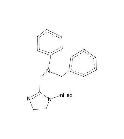 CCCCCCN1CCN=C1CN(Cc1ccccc1)c1ccccc1